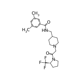 Cc1cc(C)cc(C(=O)NCC2CCN(CC(=O)N3CCC[C@H]3C(F)(F)F)CC2)c1